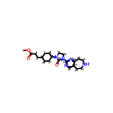 COC(=O)CCC1CCC(N2CCN(c3ncc4c(n3)CCNCC4)C2=O)CC1